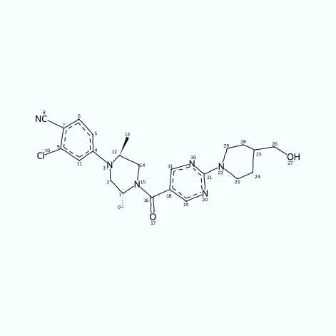 C[C@@H]1CN(c2ccc(C#N)c(Cl)c2)[C@@H](C)CN1C(=O)c1cnc(N2CCC(CO)CC2)nc1